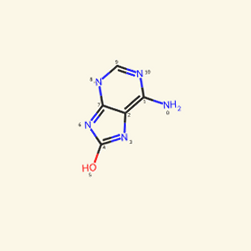 NC1=C2N=C(O)N=C2[N]C=N1